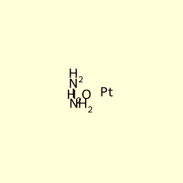 NN.O.[Pt]